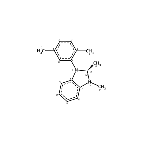 Cc1ccc(C)c(N2c3ccccc3N(C)[C@@H]2C)c1